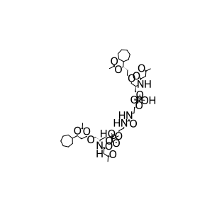 CC(=O)CC(=O)N[C@H](COCC[C@H](OC(C)=O)C1CCCCCC1)COP(=O)(O)OCCNC(=O)NCCOP(=O)(O)OC[C@@H](COCC[C@H](OC(C)=O)C1CCCCCC1)NC(=O)CC(C)=O